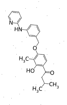 Cc1c(OCc2cccc(Nc3ccccn3)c2)ccc(C(=O)CC(C)C)c1O